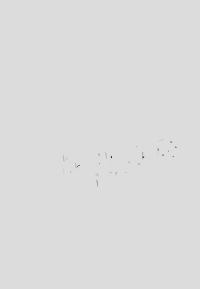 C[C@@]1(O)CC[C@]2(C)C3=CC[C@]4(C)[C@@H](C(=O)Cn5ccnn5)CC[C@H]4[C@@H]3CC[C@H]2C1